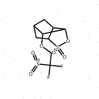 O=[SH](=O)C(F)(F)COC1C2CC3C1OS(=O)(=O)C3C2